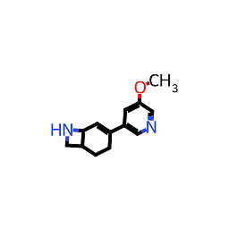 COc1cncc(C2=CC3NCC3CC2)c1